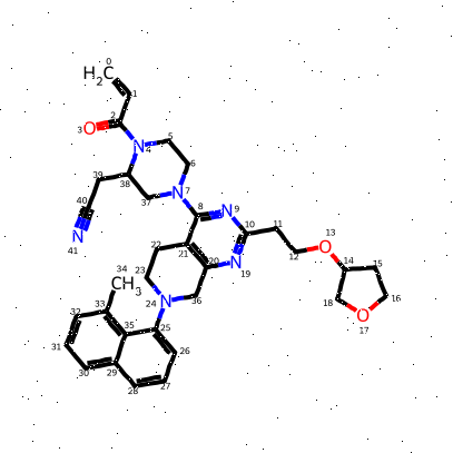 C=CC(=O)N1CCN(c2nc(CCOC3CCOC3)nc3c2CCN(c2cccc4cccc(C)c24)C3)CC1CC#N